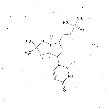 CC1(C)OC2C(n3ccc(=O)[nH]c3=O)CC(COP(=O)(O)O)[C@@H]2O1